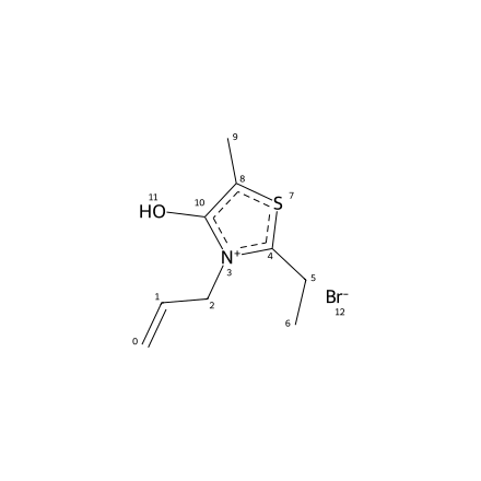 C=CC[n+]1c(CC)sc(C)c1O.[Br-]